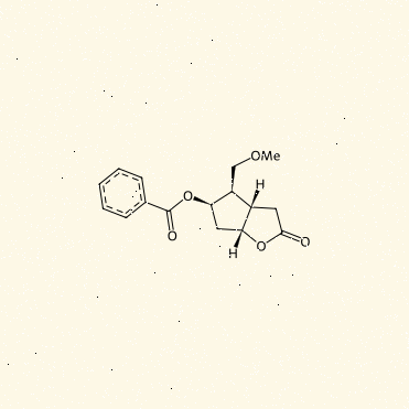 COC[C@H]1[C@@H]2CC(=O)O[C@@H]2C[C@H]1OC(=O)c1ccccc1